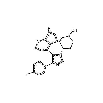 O[C@H]1CC[C@H](n2cnc(-c3ccc(F)cc3)c2-c2ccnc3[nH]ccc23)CC1